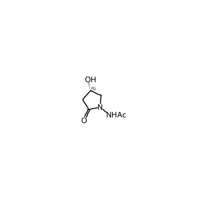 CC(=O)NN1C[C@@H](O)CC1=O